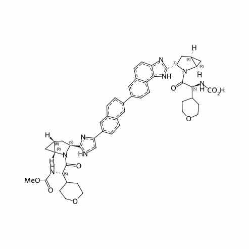 COC(=O)N[C@H](C(=O)N1[C@@H]2C[C@@H]2C[C@H]1c1nc(-c2ccc3cc(-c4ccc5c(ccc6nc([C@@H]7C[C@H]8C[C@H]8N7C(=O)[C@@H](NC(=O)O)C7CCOCC7)[nH]c65)c4)ccc3c2)c[nH]1)C1CCOCC1